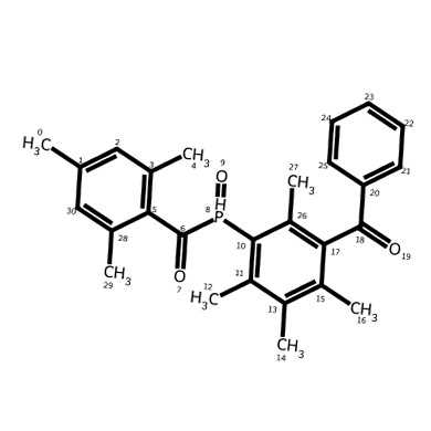 Cc1cc(C)c(C(=O)[PH](=O)c2c(C)c(C)c(C)c(C(=O)c3ccccc3)c2C)c(C)c1